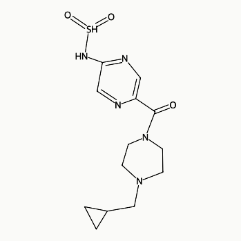 O=C(c1cnc(N[SH](=O)=O)cn1)N1CCN(CC2CC2)CC1